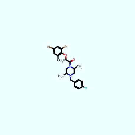 CC1CN(C(=O)COc2c(Br)cc(Br)cc2C(=O)O)C(C)CN1Cc1ccc(F)cc1